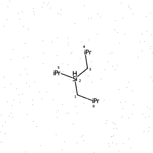 CC(C)C[SiH](CC(C)C)C(C)C